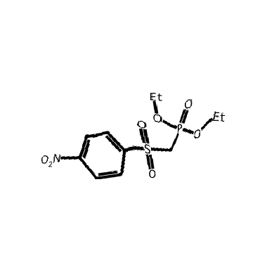 CCOP(=O)(CS(=O)(=O)c1ccc([N+](=O)[O-])cc1)OCC